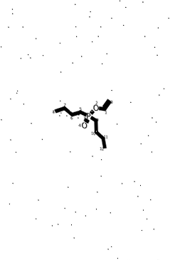 C=COP(=O)(CCCC)CCCC